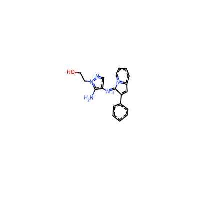 Nc1c(/N=C2/C(c3ccccc3)=Cc3cccc[n+]32)cnn1CCO